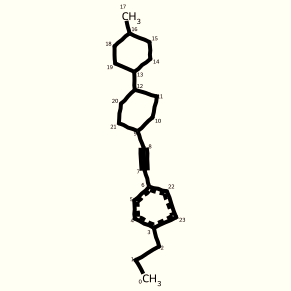 CCCc1ccc(C#CC2CCC(C3CCC(C)CC3)CC2)cc1